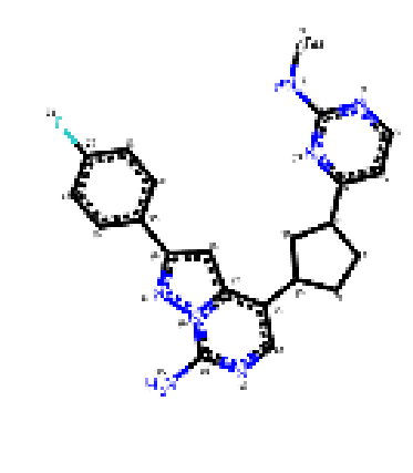 CCCCNc1nccc(C2CCC(c3cnc(N)n4nc(-c5ccc(F)cc5)cc34)C2)n1